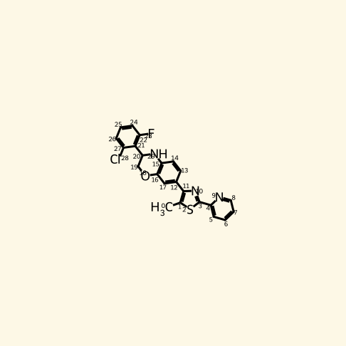 Cc1sc(-c2ccccn2)nc1-c1ccc2c(c1)OCC(c1c(F)cccc1Cl)N2